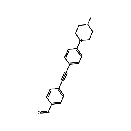 CN1CCN(c2ccc(C#Cc3ccc([C]=O)cc3)cc2)CC1